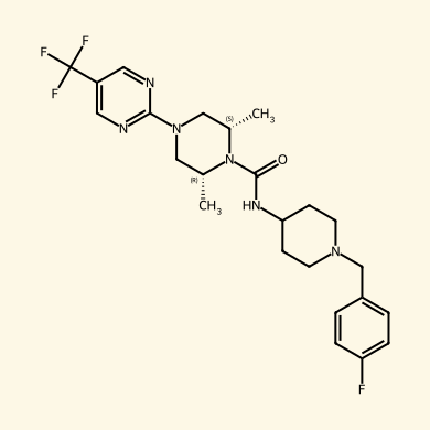 C[C@@H]1CN(c2ncc(C(F)(F)F)cn2)C[C@H](C)N1C(=O)NC1CCN(Cc2ccc(F)cc2)CC1